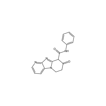 O=C1CCn2c(nc3ncccc32)C1C(=O)Nc1ccccc1